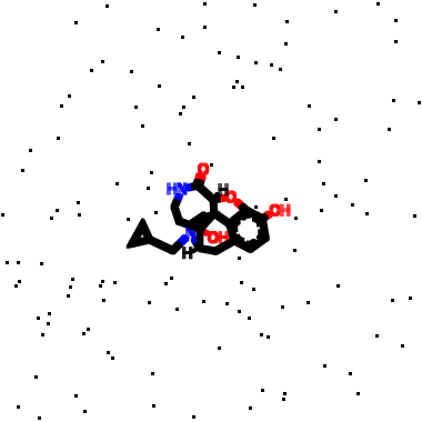 O=C1NCC[C@@]2(O)[C@H]3Cc4ccc(O)c5c4[C@@]2(CCN3CC2CC2)[C@H]1O5